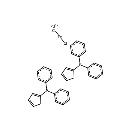 C1=CCC(P(c2ccccc2)c2ccccc2)=C1.C1=CCC(P(c2ccccc2)c2ccccc2)=C1.[Cl][Fe][Cl].[Pd+2]